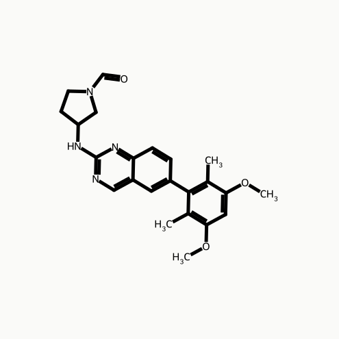 COc1cc(OC)c(C)c(-c2ccc3nc(NC4CCN(C=O)C4)ncc3c2)c1C